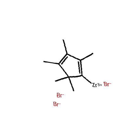 CC1=C(C)C(C)(C)[C]([Zr+3])=C1C.[Br-].[Br-].[Br-]